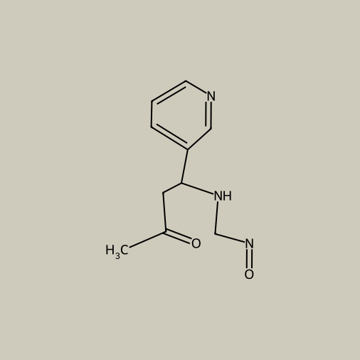 CC(=O)CC(NCN=O)c1cccnc1